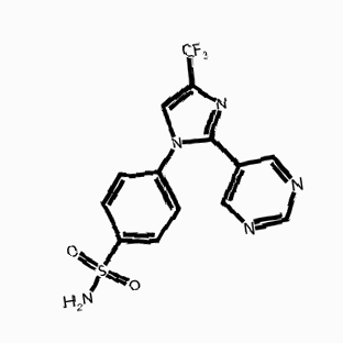 NS(=O)(=O)c1ccc(-n2cc(C(F)(F)F)nc2-c2cncnc2)cc1